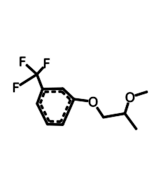 COC(C)COc1cccc(C(F)(F)F)c1